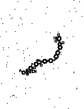 N#Cc1c(NS(=O)(=O)N2CC[C@@H](F)C2)ccc(F)c1Oc1ccc2ncn(-c3ccc(N4CCC(CN5CCC6(CC5)CCN(c5ccc7c(c5)CN([C@H]5CCC(=O)NC5=O)C7=O)CC6)CC4)cc3)c(=O)c2c1